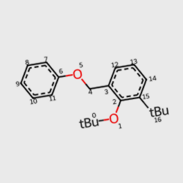 CC(C)(C)Oc1c(COc2ccccc2)cccc1C(C)(C)C